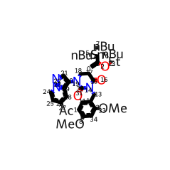 C=[C](OCC)[Sn]([CH2]CCC)([CH2]CCC)[CH2]CCC.COc1ccc(CN2C(=O)CCN(c3cnn4ccc(C(C)=O)cc34)C2=O)c(OC)c1